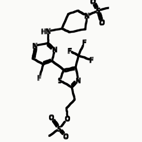 CS(=O)(=O)OCCc1nc(C(F)(F)F)c(-c2nc(NC3CCN(S(C)(=O)=O)CC3)ncc2F)s1